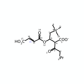 CC(C)CC(=O)C(C(=O)[O-])C(C[N+](C)(C)C)OC(=O)/C=C/C(=O)O